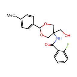 COc1ccc(C2OCC(CO)(NC(=O)c3ccccc3F)CO2)cc1